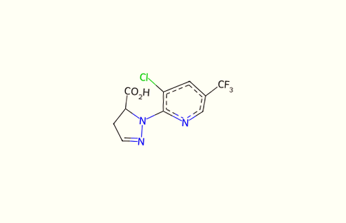 O=C(O)C1CC=NN1c1ncc(C(F)(F)F)cc1Cl